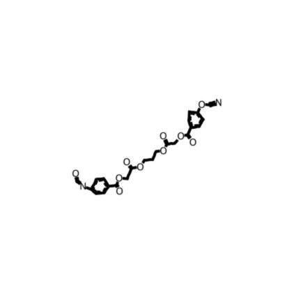 N#COc1ccc(C(=O)OCC(=O)OCCCOC(=O)COC(=O)c2ccc(N=C=O)cc2)cc1